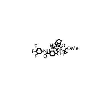 COCC1(NC(=O)CC2(O)C3CCC2CC(S(=O)(=O)c2cc(C(=O)Nc4cc(F)c(F)c(F)c4)ccc2Cl)C3)CC1